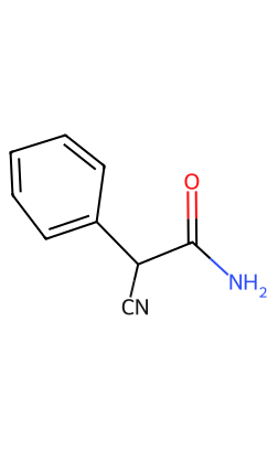 N#CC(C(N)=O)c1ccccc1